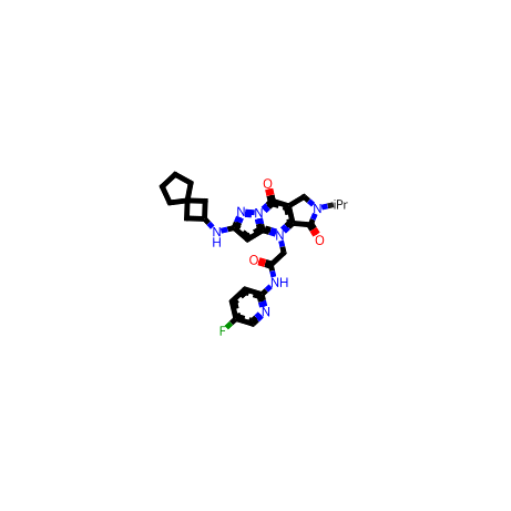 CC(C)N1Cc2c(n(CC(=O)Nc3ccc(F)cn3)c3cc(NC4CC5(CCCC5)C4)nn3c2=O)C1=O